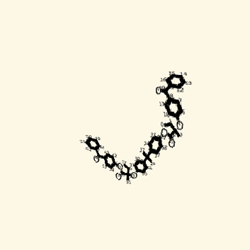 CCC(C)(Oc1ccc(C(=O)c2ccccc2)cc1)C(=O)Oc1ccc(C(C)(C)c2ccc(OC(C)(CC)C(=O)Oc3ccc(C(=O)c4ccccc4)cc3)cc2)cc1